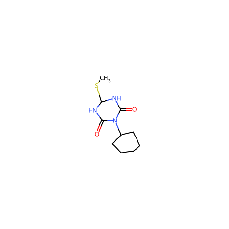 CSC1NC(=O)N(C2CCCCC2)C(=O)N1